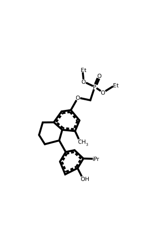 CCOP(=O)(COc1cc(C)c2c(c1)CCCC2c1ccc(O)c(C(C)C)c1)OCC